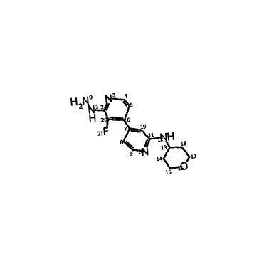 NNc1nccc(-c2ccnc(NC3CCOCC3)c2)c1F